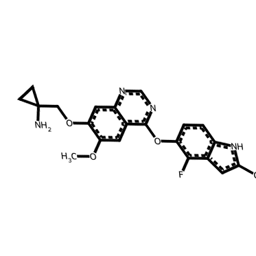 COc1cc2c(Oc3ccc4[nH]c(C)cc4c3F)ncnc2cc1OCC1(N)CC1